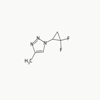 Cc1cn(C2CC2(F)F)nn1